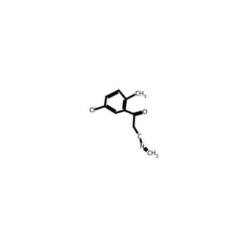 C=NCCC(=O)c1cc(Cl)ccc1C